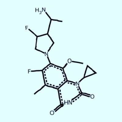 COc1c(N2CC(F)C(C(C)N)C2)c(F)c(C)c2c(=O)[nH]c(=O)n(C3CC3)c12